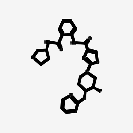 O=C(Nc1ccccc1C(=O)N[C@H]1CCOC1)c1coc(N2CC[C@H](Oc3ncccn3)[C@H](F)C2)n1